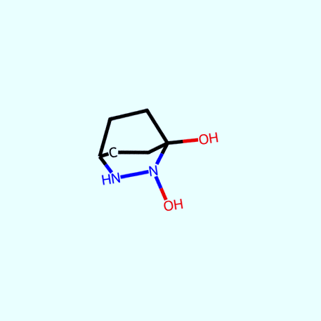 ON1NC2CCC1(O)CC2